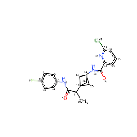 CC(C(=O)Nc1ccc(F)cc1)C12CC(NC(=O)c3cccc(Cl)n3)(C1)C2